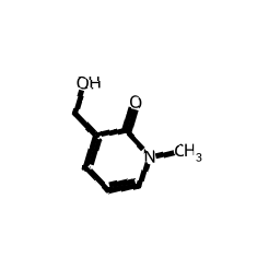 Cn1cccc(CO)c1=O